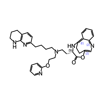 O=C1O\C2=C/N=c3/cccc/c3=C(/CC2)N[C@H]1CCN(CCCCc1ccc2c(n1)NCCC2)CCOc1ccccn1